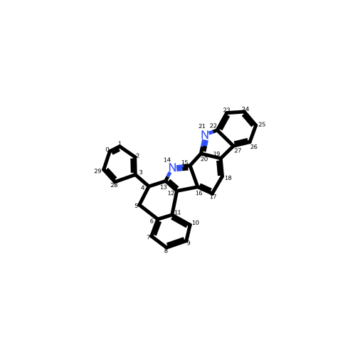 c1ccc(C2Cc3ccccc3C3=C2N=c2c3ccc3c2=Nc2ccccc2-3)cc1